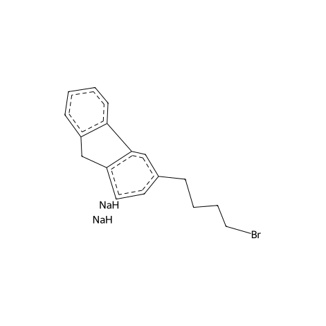 BrCCCCc1ccc2c(c1)-c1ccccc1C2.[NaH].[NaH]